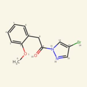 COc1ccccc1CC(=O)n1cc(Br)cn1